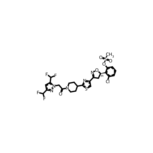 CS(=O)(=O)Oc1cccc(Cl)c1[C@H]1CC(c2csc(C3CCN(C(=O)Cn4nc(C(F)F)cc4C(F)F)CC3)n2)=NO1